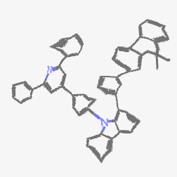 CC1(C)c2ccccc2-c2ccc(-c3cccc(-c4cccc5c6ccccc6n(-c6ccc(-c7cc(-c8ccccc8)nc(-c8ccccc8)c7)cc6)c45)c3)cc21